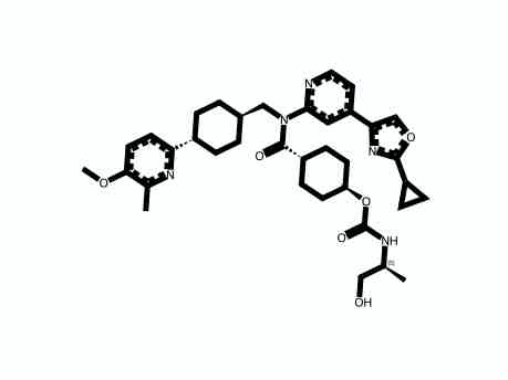 COc1ccc([C@H]2CC[C@H](CN(c3cc(-c4coc(C5CC5)n4)ccn3)C(=O)[C@H]3CC[C@H](OC(=O)N[C@@H](C)CO)CC3)CC2)nc1C